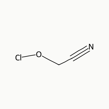 N#CCOCl